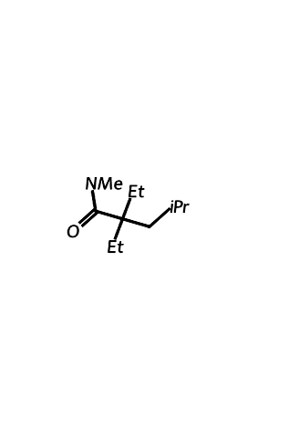 CCC(CC)(CC(C)C)C(=O)NC